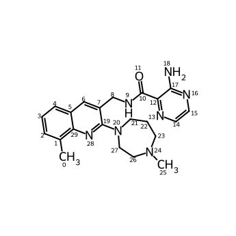 Cc1cccc2cc(CNC(=O)c3nccnc3N)c(N3CCCN(C)CC3)nc12